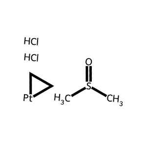 CS(C)=O.Cl.Cl.[CH2]1[CH2][Pt]1